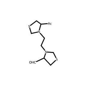 CC(=O)C1CSCN1CCN1CSCC1C=O